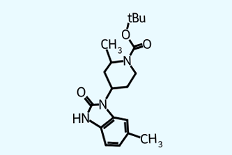 Cc1ccc2[nH]c(=O)n(C3CCN(C(=O)OC(C)(C)C)C(C)C3)c2c1